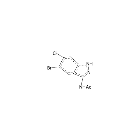 CC(=O)Nc1n[nH]c2cc(Cl)c(Br)cc12